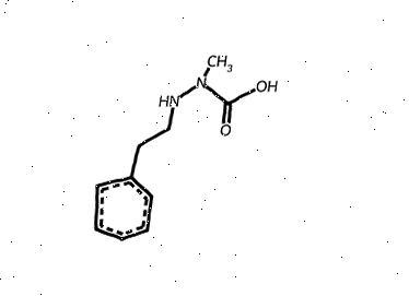 CN(NCCc1ccccc1)C(=O)O